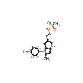 Cc1cc2ncc(CCOS(C)(=O)=O)cc2n1-c1ccc(Cl)cc1